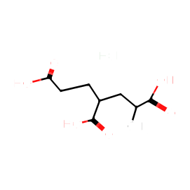 CC(CC(CCC(=O)O)C(=O)O)C(=O)O.Cl